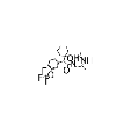 CC1CN(C(=O)C(c2cccc(OC(F)(F)F)c2)C2(O)CCCCC2)CC(C)N1